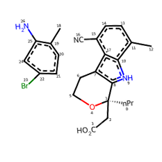 CCC[C@]1(CC(=O)O)OCCc2c1[nH]c1c(C)ccc(C#N)c21.Cc1ccc(Br)cc1N